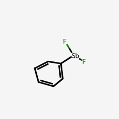 [F][Sb]([F])[c]1ccccc1